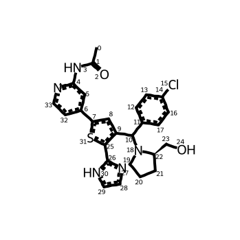 CC(=O)Nc1cc(-c2cc(C(c3ccc(Cl)cc3)N3CCC[C@@H]3CO)c(-c3ncc[nH]3)s2)ccn1